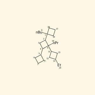 CCCCC1(C2C[C](C3CCC3)C2(CCC)C2CC(CC)C2)CCC1